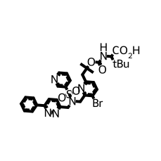 CC(C)(Cc1ccc(Br)c(CN(Cc2ccc(-c3ccccc3)nn2)S(=O)(=O)c2cccnc2)n1)OC(=O)NC(C(=O)O)C(C)(C)C